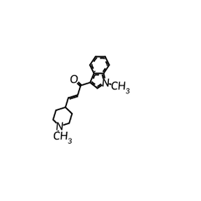 CN1CCC(C=CC(=O)c2cn(C)c3ccccc23)CC1